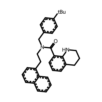 CC(C)(C)c1ccc(CN(CCc2cccc3ccccc23)C(=O)c2cccc3c2NCCC3)cc1